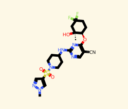 Cn1cc(S(=O)(=O)N2CCC(Nc3ncc(C#N)c(O[C@@H]4CCC(F)(F)C[C@]4(C)O)n3)CC2)cn1